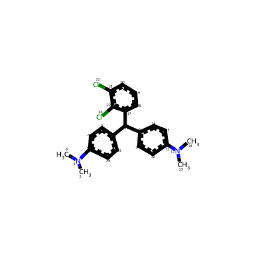 CN(C)c1ccc(C(c2ccc(N(C)C)cc2)c2cccc(Cl)c2Cl)cc1